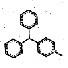 C[n+]1ccc(C(c2ccccc2)c2ccccc2)cc1.[I-]